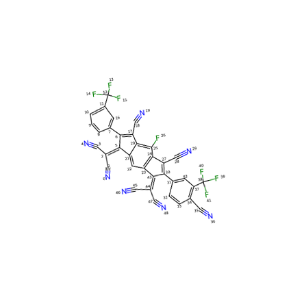 N#CC(C#N)=C1C(c2cccc(C(F)(F)F)c2)=C(C#N)c2c1cc1c(c2F)C(C#N)=C(c2ccc(C#N)c(C(F)(F)F)c2)C1=C(C#N)C#N